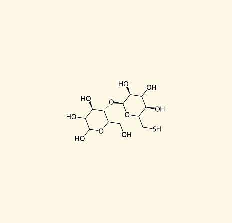 OCC1OC(O)C(O)[C@@H](O)[C@@H]1O[C@@H]1OC(CS)[C@H](O)C(O)[C@@H]1O